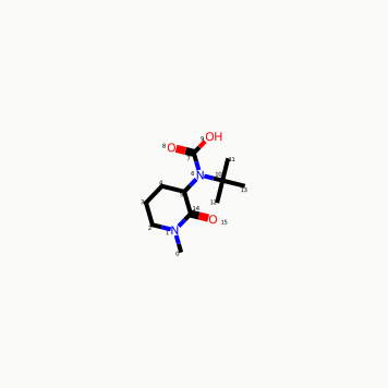 CN1CCCC(N(C(=O)O)C(C)(C)C)C1=O